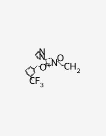 C=CC(=O)N1CC(n2cccn2)[C@H](OCc2cccc(C(F)(F)F)c2)C1